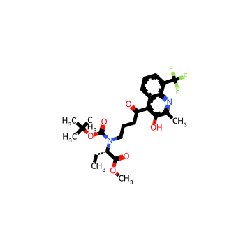 CC[C@@H](C(=O)OC)N(CCCC(=O)c1c(O)c(C)nc2c(C(F)(F)F)cccc12)C(=O)OC(C)(C)C